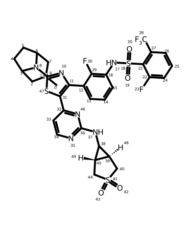 CN1CC2CCC(C1)N2c1nc(-c2cccc(NS(=O)(=O)c3c(F)cccc3C(F)(F)F)c2F)c(-c2ccnc(NC3[C@H]4CS(=O)(=O)C[C@H]34)n2)s1